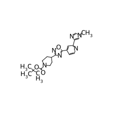 Cn1cnc(-c2cc(-c3nc(C4CCN(C(=O)OC(C)(C)C)CC4)no3)ccn2)c1